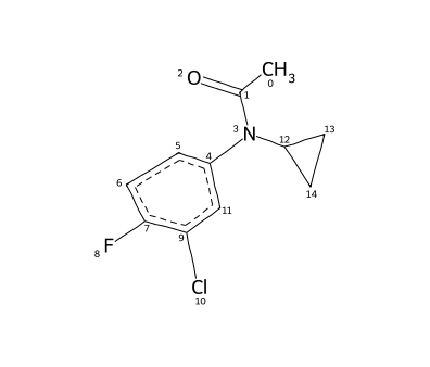 CC(=O)N(c1ccc(F)c(Cl)c1)C1CC1